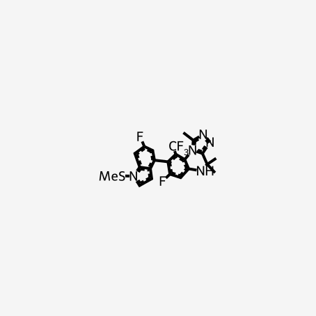 CSn1ccc2c(-c3c(F)cc4c(c3C(F)(F)F)-n3c(C)nnc3C(C)(C)N4)cc(F)cc21